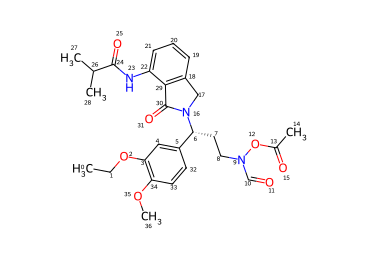 CCOc1cc([C@@H](CCN(C=O)OC(C)=O)N2Cc3cccc(NC(=O)C(C)C)c3C2=O)ccc1OC